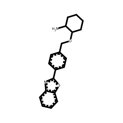 NC1CCCCC1OCc1ccc(-c2nc3ccccc3s2)cc1